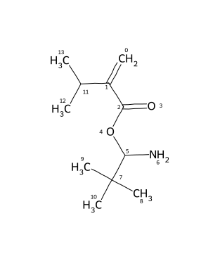 C=C(C(=O)OC(N)C(C)(C)C)C(C)C